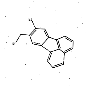 CCc1cc2c(cc1CBr)-c1cccc3cccc-2c13